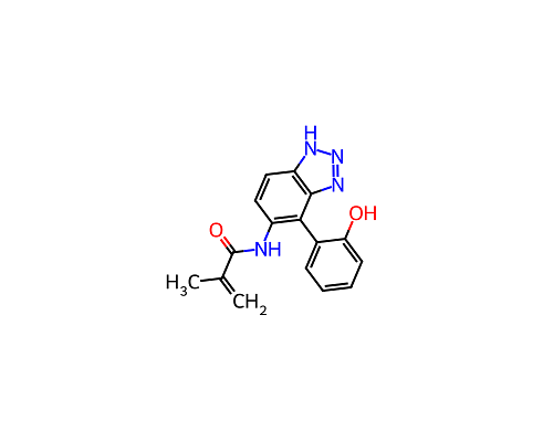 C=C(C)C(=O)Nc1ccc2[nH]nnc2c1-c1ccccc1O